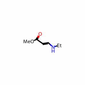 CCNC=CC(=O)OC